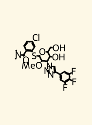 COC1C(Sc2cc(Cl)ccc2C(=O)N(C)C)OC(CO)C(O)C1n1cc(-c2cc(F)c(F)c(F)c2)nn1